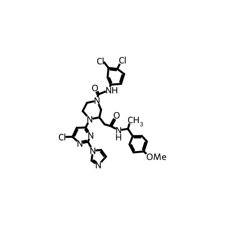 COc1ccc(C(C)NC(=O)CC2CN(C(=O)Nc3ccc(Cl)c(Cl)c3)CCN2c2cc(Cl)nc(-n3ccnc3)n2)cc1